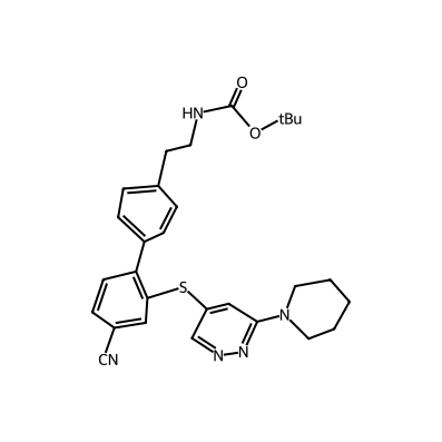 CC(C)(C)OC(=O)NCCc1ccc(-c2ccc(C#N)cc2Sc2cnnc(N3CCCCC3)c2)cc1